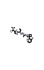 C=C/C(=N\N=C(/C)NCC1(c2ncccc2F)CCC1)c1ncc(C(=O)N(C)C)s1